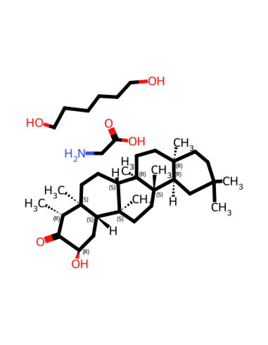 C[C@H]1C(=O)[C@H](O)C[C@@H]2[C@]1(C)CC[C@H]1[C@@]2(C)CC[C@@]2(C)[C@@H]3CC(C)(C)CC[C@]3(C)CC[C@]12C.NCC(=O)O.OCCCCCCO